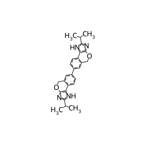 CC(C)c1nc2c([nH]1)-c1ccc(-c3ccc4c(c3)COc3nc(C(C)C)[nH]c3-4)cc1CO2